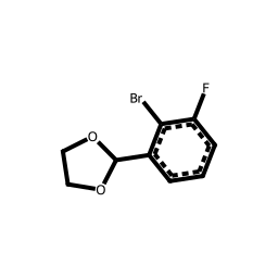 Fc1cccc(C2OCCO2)c1Br